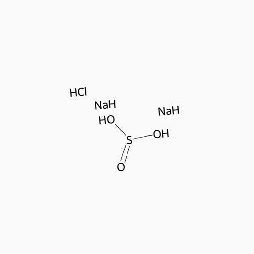 Cl.O=S(O)O.[NaH].[NaH]